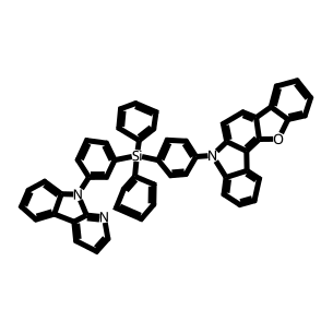 c1ccc([Si](c2ccccc2)(c2ccc(-n3c4ccccc4c4c5oc6ccccc6c5ccc43)cc2)c2cccc(-n3c4ccccc4c4cccnc43)c2)cc1